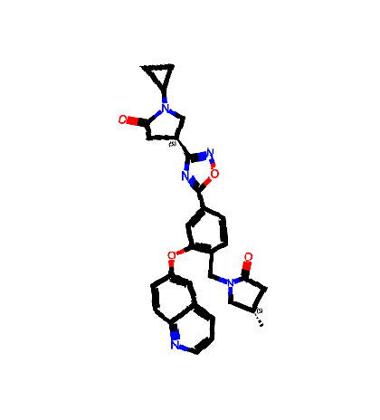 C[C@H]1CC(=O)N(Cc2ccc(-c3nc([C@H]4CC(=O)N(C5CC5)C4)no3)cc2Oc2ccc3ncccc3c2)C1